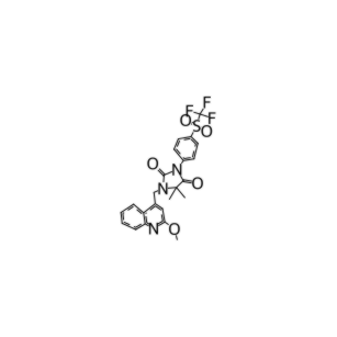 COc1cc(CN2C(=O)N(c3ccc(S(=O)(=O)C(F)(F)F)cc3)C(=O)C2(C)C)c2ccccc2n1